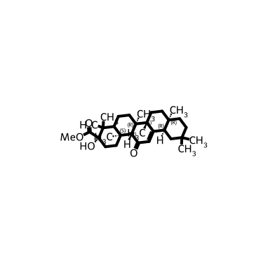 COC(=O)[C@]1(O)CC[C@@]2(C)C(CC[C@]3(C)[C@@H]2C(=O)C=C2[C@@H]4CC(C)(C)CC[C@]4(C)CC[C@]23C)C1(C)C